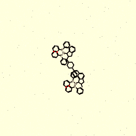 CC1Cc2ccc3cc(C4CCC(CC5Cc6ccccc6C5N(P(c5ccccc5)c5ccccc5)P(c5ccccc5)c5ccccc5)CC4)ccc3c2C1N(P(c1ccccc1)c1ccccc1)P(c1ccccc1)c1ccccc1